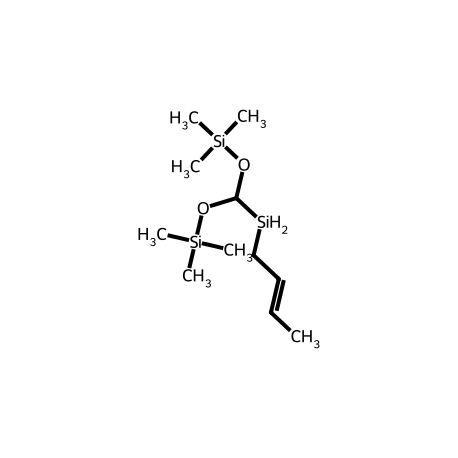 CC=CC[SiH2]C(O[Si](C)(C)C)O[Si](C)(C)C